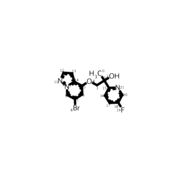 CC(O)(COc1cc(Br)cn2nccc12)c1ccc(F)cn1